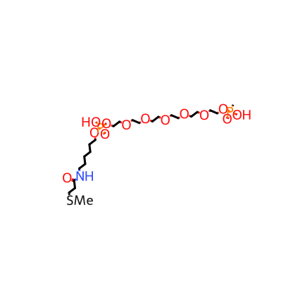 CSCCC(=O)NCCCCCCOP(=O)(O)OCCOCCOCCOCCOCCOCCOP(C)(=O)O